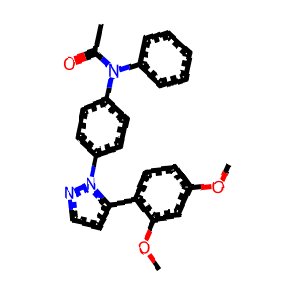 COc1ccc(-c2ccnn2-c2ccc(N(C(C)=O)c3ccccc3)cc2)c(OC)c1